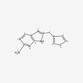 Nc1ncc2nc(Cc3ccsc3)[nH]c2n1